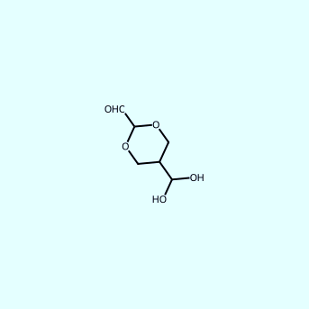 O=CC1OCC(C(O)O)CO1